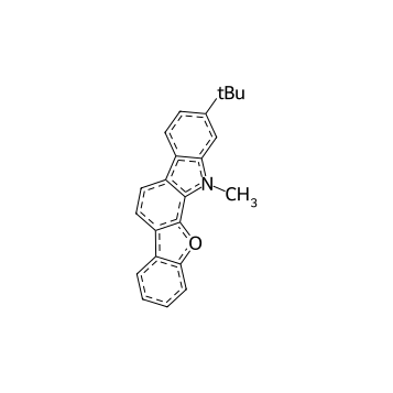 Cn1c2cc(C(C)(C)C)ccc2c2ccc3c4ccccc4oc3c21